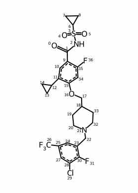 O=C(NS(=O)(=O)C1CC1)c1cc(C2CC2)c(OCC2CCN(Cc3cc(C(F)(F)F)cc(Cl)c3F)CC2)cc1F